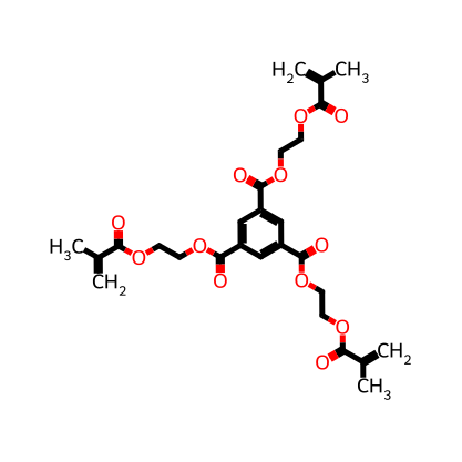 C=C(C)C(=O)OCCOC(=O)c1cc(C(=O)OCCOC(=O)C(=C)C)cc(C(=O)OCCOC(=O)C(=C)C)c1